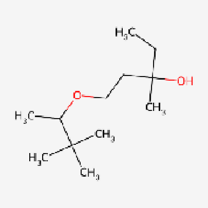 CCC(C)(O)CCOC(C)C(C)(C)C